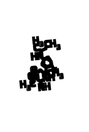 CCC(C)Nc1ccc(F)c([C@]2(C)CS(=O)(=O)N(C)C(=N)N2)c1